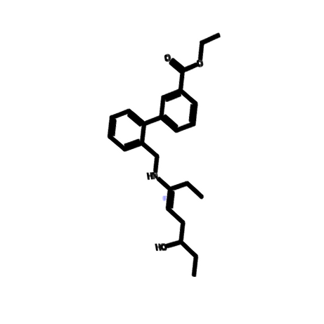 CCOC(=O)c1cccc(-c2ccccc2CN/C(=C/CC(O)CC)CC)c1